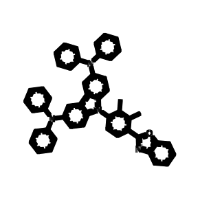 Cc1c(-c2nc3ccccc3o2)ccc(-n2c3ccc(N(c4ccccc4)c4ccccc4)cc3c3cc(N(c4ccccc4)c4ccccc4)ccc32)c1C